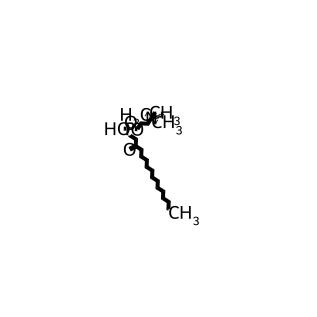 CCCCCCCCCCCCCC(=O)CCP(=O)(O)OCC[N+](C)(C)C